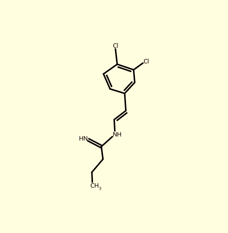 CCCC(=N)NC=Cc1ccc(Cl)c(Cl)c1